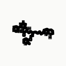 Cc1cc(N[C@@H](CCN(CCCCc2ccc3c(n2)NCCC3)CCOc2cccnc2C)C(=O)O)nc(-c2ccncc2)n1